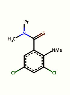 CNc1c(Cl)cc(Cl)cc1C(=S)N(C)C(C)C